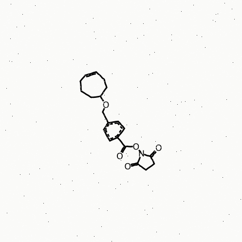 O=C(ON1C(=O)CCC1=O)c1ccc(COC2CC/C=C\CCC2)cc1